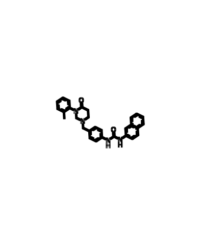 Cc1ccccc1N1CN(Cc2ccc(NC(=O)Nc3ccc4ccccc4c3)cc2)CCC1=O